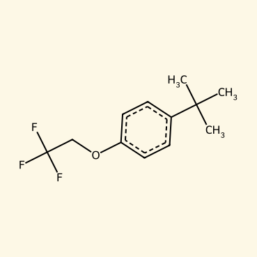 CC(C)(C)c1ccc(OCC(F)(F)F)cc1